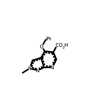 CC(C)Oc1c(C(=O)O)cnc2nn(C)cc12